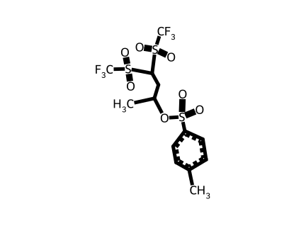 Cc1ccc(S(=O)(=O)OC(C)CC(S(=O)(=O)C(F)(F)F)S(=O)(=O)C(F)(F)F)cc1